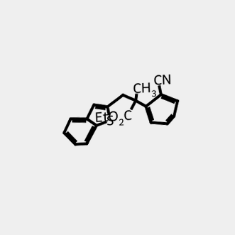 CCOC(=O)C(C)(Cc1cc2ccccc2s1)c1ccccc1C#N